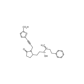 C[C@@H](CCc1ccccc1)[C@H](O)CCC1CCC(=O)N1CC#Cc1ccc(C(=O)O)s1